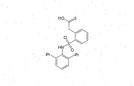 CC(C)c1cccc(C(C)C)c1NS(=O)(=O)c1ccccc1CC(O)=S